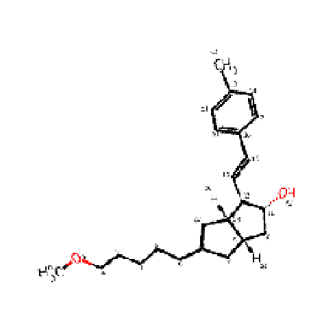 COCCCCCC1C[C@H]2C[C@@H](O)[C@H](/C=C/c3ccc(C)cc3)[C@H]2C1